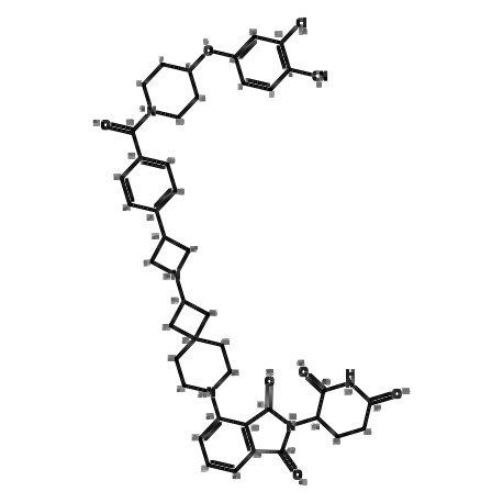 N#Cc1ccc(OC2CCN(C(=O)c3ccc(C4CN(C5CC6(CCN(c7cccc8c7C(=O)N(C7CCC(=O)NC7=O)C8=O)CC6)C5)C4)cc3)CC2)cc1Cl